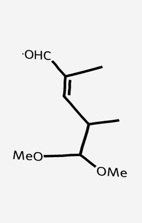 COC(OC)C(C)C=C(C)[C]=O